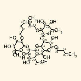 CCCCOC1C(O)[C@@H](O)[C@H](C)O[C@H]1OC1C(O)[C@@H](O)[C@H](CO)O[C@H]1O[C@@H]1C(CO)O[C@@H](OCCCC)[C@@H](O)C1O[C@@H]1OC(C)[C@@H](O)C(O)[C@@H]1OCCCC